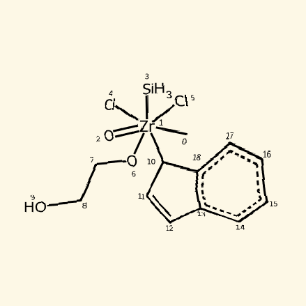 [CH3][Zr](=[O])([SiH3])([Cl])([Cl])([O]CCO)[CH]1C=Cc2ccccc21